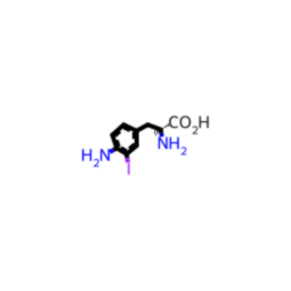 Nc1ccc(C[C@@H](N)C(=O)O)cc1I